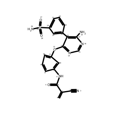 C=C(C#N)C(=O)Nc1cccc(Oc2ncnc(N)c2-c2cccc(S(N)(=O)=O)c2)c1